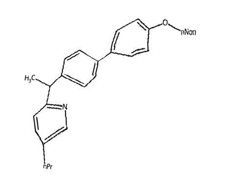 CCCCCCCCCOc1ccc(-c2ccc(C(C)c3ccc(CCC)cn3)cc2)cc1